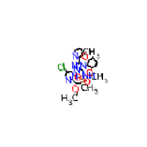 CCO[C@H](c1ncc(Cl)cn1)[C@H](C)S(=O)(=O)Nc1nnc(-c2ccccn2)n1-c1c(OC)cccc1OC